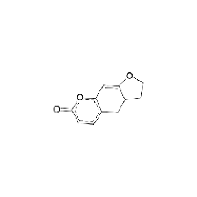 O=c1ccc2c(o1)C=C1OCCC1C2